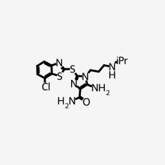 CC(C)NCCCn1c(Sc2nc3cccc(Cl)c3s2)nc(C(N)=O)c1N